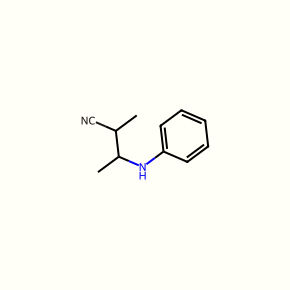 CC(C#N)C(C)Nc1ccccc1